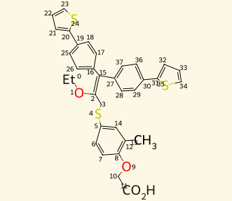 CCOC(CSc1ccc(OCC(=O)O)c(C)c1)=C(c1ccc(-c2cccs2)cc1)c1ccc(-c2cccs2)cc1